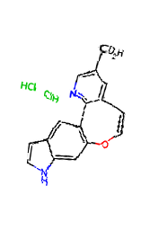 Cl.Cl.O=C(O)c1cnc2c(c1)C=COc1cc3[nH]ccc3cc1-2